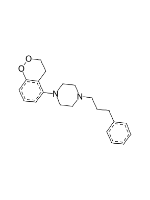 c1ccc(CCCN2CCN(c3cccc4c3CCOO4)CC2)cc1